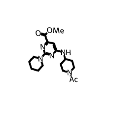 COC(=O)c1cc(NC2CCN(C(C)=O)CC2)nc(N2CCCCC2)n1